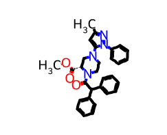 COC(=O)[C@@H]1CN(c2cc(C)nn2-c2ccccc2)CCN1C(=O)C(c1ccccc1)c1ccccc1